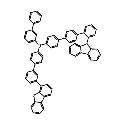 c1ccc(-c2cccc(N(c3ccc(-c4ccc(-c5ccccc5-n5c6ccccc6c6ccccc65)cc4)cc3)c3ccc(-c4cccc(-c5cccc6c5oc5ccccc56)c4)cc3)c2)cc1